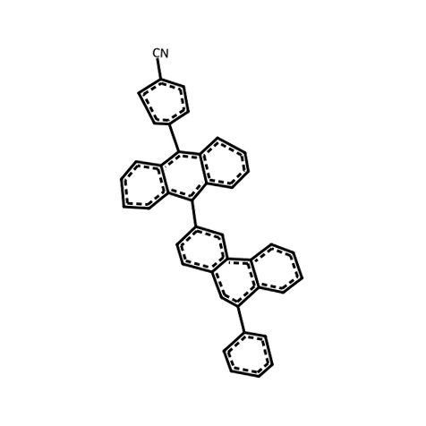 N#Cc1ccc(-c2c3ccccc3c(-c3ccc4cc(-c5ccccc5)c5ccccc5c4c3)c3ccccc23)cc1